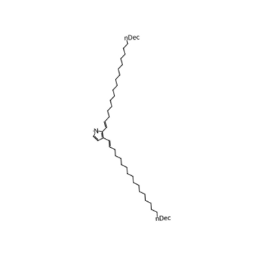 CCCCCCCCCCCCCCCCCCCCCCCCCC=CC1=C(C=CCCCCCCCCCCCCCCCCCCCCCCCCC)[N]C=C1